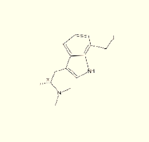 C[C@H](Cc1c[nH]c2c(CI)cccc12)N(C)C